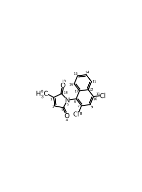 CC1=CC(=O)N(c2c(Cl)cc(Cl)c3ccccc23)C1=O